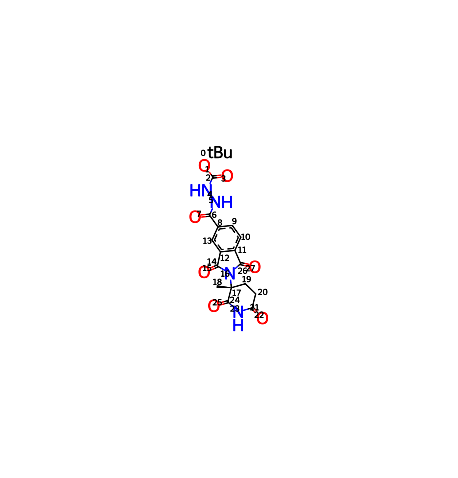 CC(C)(C)OC(=O)NNC(=O)c1ccc2c(c1)C(=O)N([C@]1(C)CCC(=O)NC1=O)C2=O